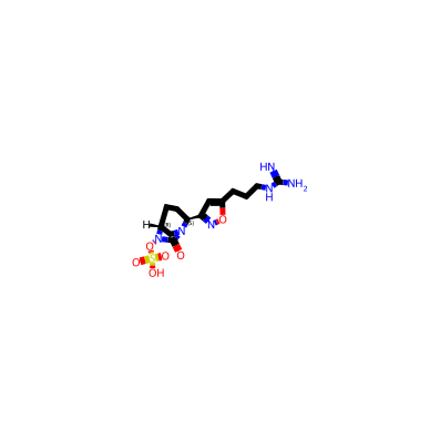 N=C(N)NCCCc1cc([C@@H]2CC[C@@H]3CN2C(=O)N3OS(=O)(=O)O)no1